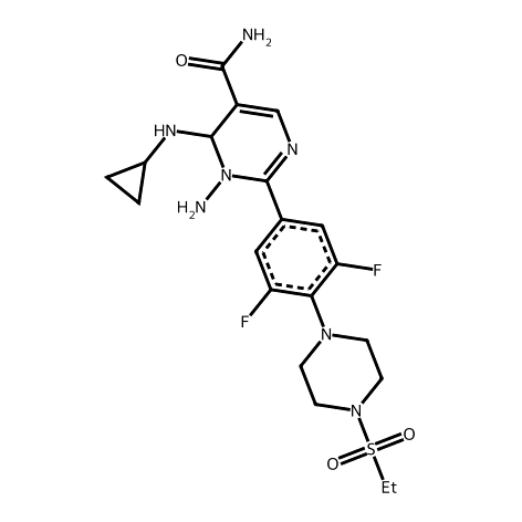 CCS(=O)(=O)N1CCN(c2c(F)cc(C3=NC=C(C(N)=O)C(NC4CC4)N3N)cc2F)CC1